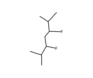 CC(C)C(F)CC(F)C(C)C